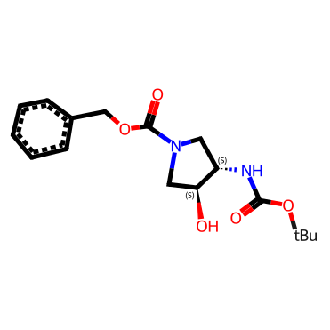 CC(C)(C)OC(=O)N[C@H]1CN(C(=O)OCc2ccccc2)C[C@@H]1O